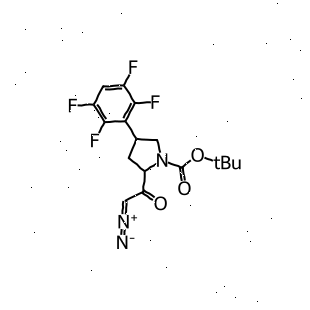 CC(C)(C)OC(=O)N1CC(c2c(F)c(F)cc(F)c2F)CC1C(=O)C=[N+]=[N-]